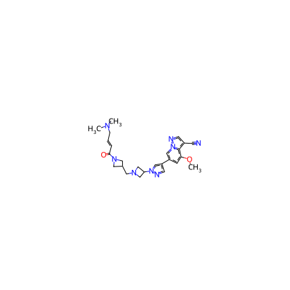 COc1cc(-c2cnn(C3CN(CC4CN(C(=O)/C=C/CN(C)C)C4)C3)c2)cn2ncc(C#N)c12